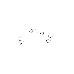 O=C(NCc1ccc(COc2cccc(C(O)(C(=O)O)c3ccccc3)c2)cc1)c1ccc(CNCC(O)c2ccc(O)c3[nH]c(=O)ccc23)cc1